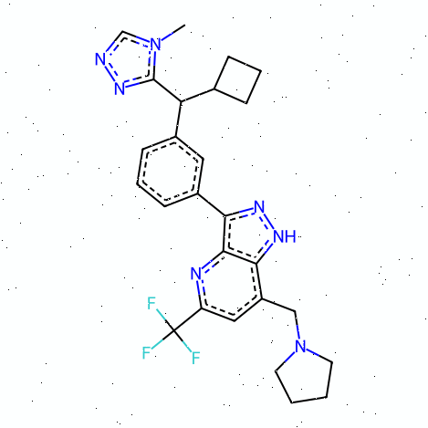 Cn1cnnc1C(c1cccc(-c2n[nH]c3c(CN4CCCC4)cc(C(F)(F)F)nc23)c1)C1CCC1